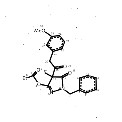 CCC(=O)OC1=NN(Cc2ccccc2)C(=O)C1(C)C(=O)Cc1cccc(OC)c1